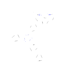 Cc1ccc2ccc3c(-c4ccc(-c5nc(-c6ccccc6)nc(-c6ccc(-c7ccccc7)cc6)n5)cc4)cc(C)nc3c2n1